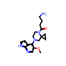 COc1cnc2[nH]ccc2c1N1CCN(C(=O)CCCN)C2(CC2)C1